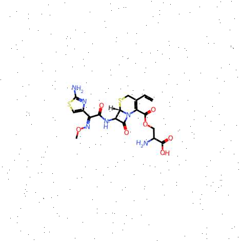 C=CC1=C(C(=O)OCC(N)C(=O)O)N2C(=O)C(NC(=O)C(=NOC)c3csc(N)n3)[C@@H]2SC1